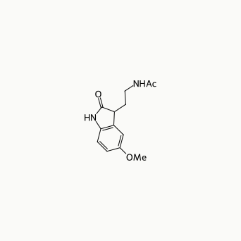 COc1ccc2c(c1)C(CCNC(C)=O)C(=O)N2